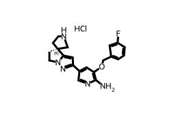 Cl.Nc1ncc(-c2cc3n(n2)CC[C@@]32CCNC2)cc1OCc1cccc(F)c1